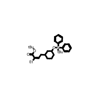 CCC(=CCC1CCCC(O[Si](c2ccccc2)(c2ccccc2)C(C)(C)C)C1)C(=O)OC(C)(C)C